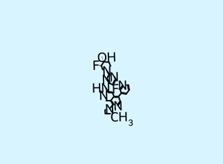 CC1CCN1c1ncc(-c2cccnc2F)c2cc(Nc3ccnc(N4CC[C@@H](O)[C@@H](F)C4)n3)ncc12